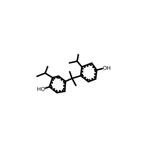 CC(C)c1cc(C(C)(C)c2ccc(O)cc2C(C)C)ccc1O